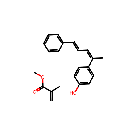 C=C(C)C(=O)OC.CC(=CC=Cc1ccccc1)c1ccc(O)cc1